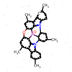 Cc1cc2c3c(c1)-n1c4ccc(C)cc4c4c(C)cc5c(c41)P3(=O)c1c(cc(C)c3c4cc(C)ccc4n-2c13)O5